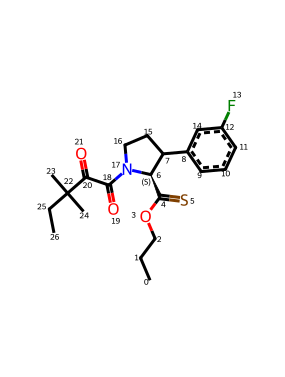 CCCOC(=S)[C@@H]1C(c2cccc(F)c2)CCN1C(=O)C(=O)C(C)(C)CC